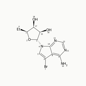 CC[C@@H]1O[C@@H](n2cc(Br)c3c(N)ncnc32)[C@H](O)[C@@H]1O